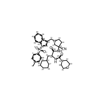 Cc1ccc(S(=O)(=O)n2cc(CN3CCC(C#N)(NC(=O)[C@H](CC4CCCCC4)NC(=O)N4CCOCC4)C3)c3ccccc32)cc1